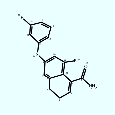 NC(=O)C1=CCCc2cc(Sc3cccc(F)c3)cc(F)c21